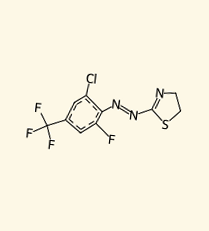 Fc1cc(C(F)(F)F)cc(Cl)c1N=NC1=NCCS1